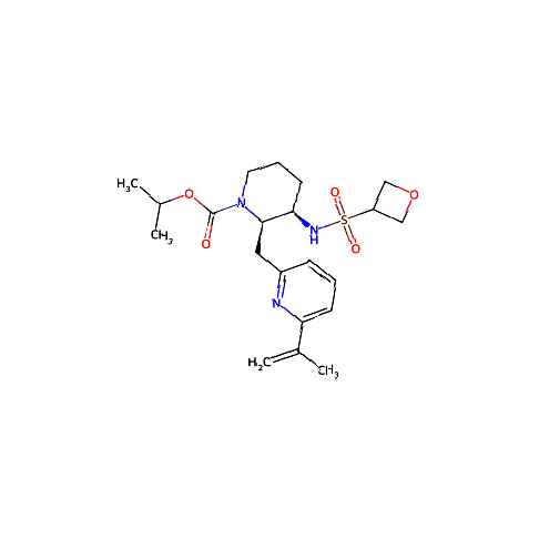 C=C(C)c1cccc(C[C@@H]2[C@H](NS(=O)(=O)C3COC3)CCCN2C(=O)OC(C)C)n1